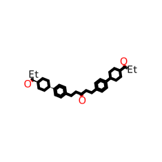 CCC(=O)C1CCC(c2ccc(CCC(=O)CCc3ccc([C@H]4CC[C@H](C(=O)CC)CC4)cc3)cc2)CC1